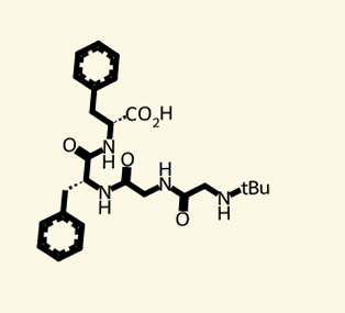 CC(C)(C)NCC(=O)NCC(=O)N[C@H](Cc1ccccc1)C(=O)N[C@H](Cc1ccccc1)C(=O)O